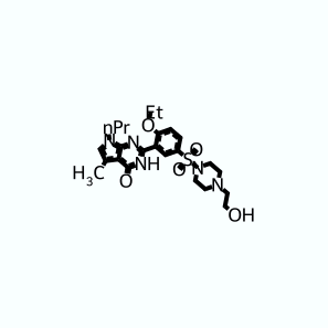 CCCn1cc(C)c2c(=O)[nH]c(-c3cc(S(=O)(=O)N4CCN(CCO)CC4)ccc3OCC)nc21